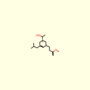 C=C(CCC1C=C(CC(C)C)C[C@@H](C(C)O)C1)OC